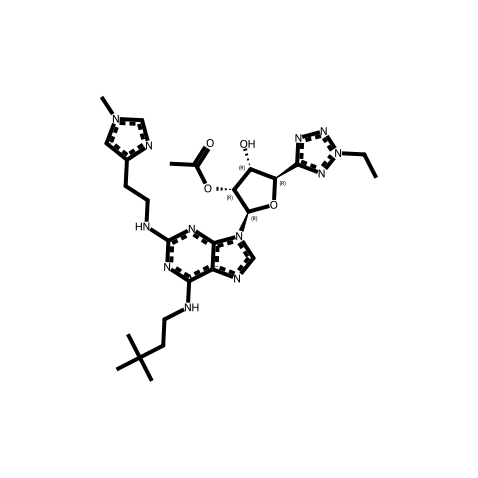 CCn1nnc([C@H]2O[C@@H](n3cnc4c(NCCC(C)(C)C)nc(NCCc5cn(C)cn5)nc43)[C@H](OC(C)=O)[C@@H]2O)n1